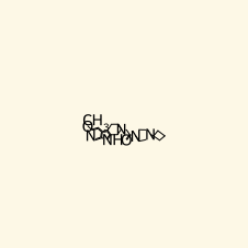 COc1cc2c3c([nH]c2cn1)CN(CC(=O)N1CCN(C2CCC2)CC1)CC3